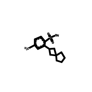 Cc1ccc(S(=O)(=O)O)c(C2CC3(CCCC3)C2)c1